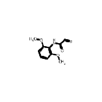 COc1cccc(OC)c1NC(=O)C=O